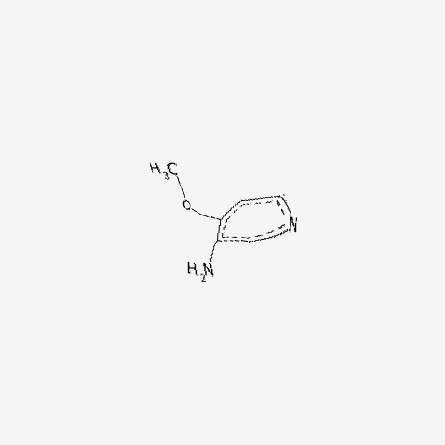 COc1c[c]ncc1N